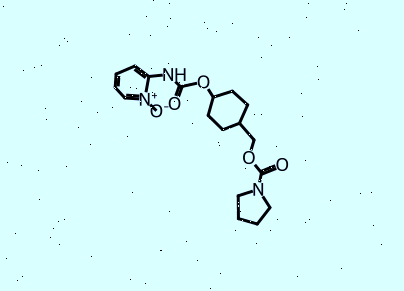 O=C(Nc1cccc[n+]1[O-])OC1CCC(COC(=O)N2CCCC2)CC1